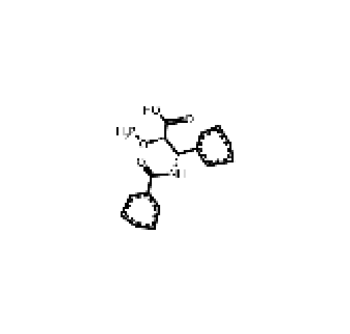 O=C(N[C@@H](c1ccccc1)[C@@H](OP)C(=O)O)c1ccccc1